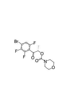 C[C@H](OC(=O)N1CCOCC1)C(=O)c1c(F)cc(Br)c(F)c1F